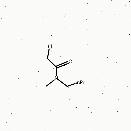 CCCCN(C)C(=O)CCl